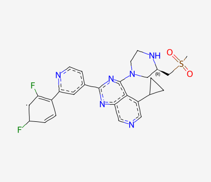 CS(=O)(=O)C[C@H]1CN(c2nc(-c3ccnc(C4=C(F)[CH]C(F)C=C4)c3)nc3cncc(C4CC4)c23)CCN1